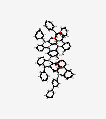 FC(F)(F)c1cccc(-c2ccccc2)c1N1c2cc3c(cc2B2c4ccccc4N(c4ccccc4)c4cc(N(c5ccccc5)c5ccccc5)cc1c42)B1c2ccccc2N(c2ccccc2)c2cc(N(c4ccc(-c5ccccc5)cc4)c4ccccc4-c4ccccc4)cc(c21)S3